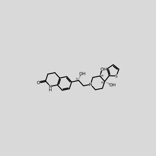 O=C1CCc2cc([C@H](O)CN3CC[C@](O)(c4cccs4)[C@H](O)C3)ccc2N1